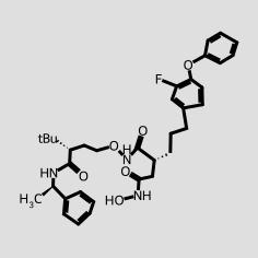 C[C@@H](NC(=O)[C@@H](CCONC(=O)[C@H](CCCc1ccc(Oc2ccccc2)c(F)c1)CC(=O)NO)C(C)(C)C)c1ccccc1